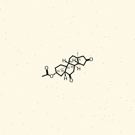 CC(=O)O[C@H]1CC[C@@]2(C)[C@@H]3CC[C@@]4(C)CC(=O)C[C@@H]4[C@H]3CC(=O)[C@@H]2C1